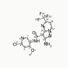 COc1cc(Cl)ncc1NC(=O)c1c(N)nn2ccc(C(F)(F)F)nc12